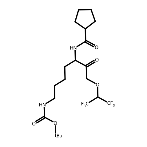 CC(C)(C)OC(=O)NCCCCC(NC(=O)C1CCCC1)C(=O)COC(C(F)(F)F)C(F)(F)F